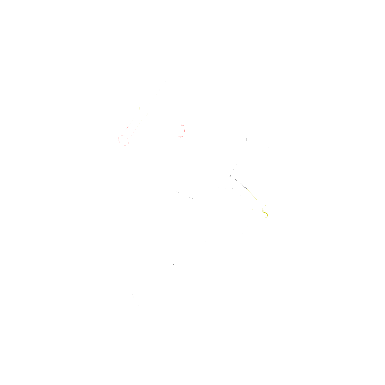 CS(=O)(=O)OCc1c(C2=CCCC2)csc1C(F)(F)F